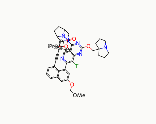 COCOc1cc(-c2ncc3c(N4CC5CCC(C4)N5C(=O)OC(C)(C)C)nc(OCC45CCCN4CCC5)nc3c2F)c2c(C#C[Si](C(C)C)(C(C)C)C(C)C)cccc2c1